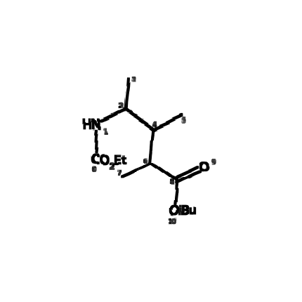 CCOC(=O)NC(C)C(C)C(C)C(=O)OCC(C)C